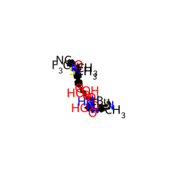 Cc1ncsc1-c1ccc(CNC(=O)[C@@H]2C[C@@H](O)CN2C(=O)C(NC(=O)COC[C@@H](O)[C@H](O)COc2ccc(-c3ccc(N4C(=S)N(c5ccc(C#N)c(C(F)(F)F)c5)C(=O)C4(C)C)cc3)cc2)C(C)(C)C)cc1